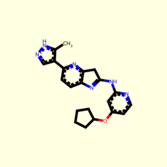 Cc1[nH]ncc1-c1ccc2c(n1)CC(Nc1cc(OC3CCCC3)ccn1)=N2